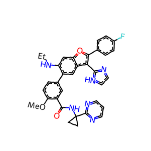 CCNc1cc2oc(-c3ccc(F)cc3)c(-c3ncc[nH]3)c2cc1-c1ccc(OC)c(C(=O)NC2(c3ncccn3)CC2)c1